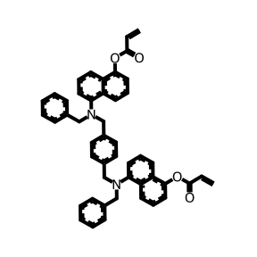 C=CC(=O)Oc1cccc2c(N(Cc3ccccc3)Cc3ccc(CN(Cc4ccccc4)c4cccc5c(OC(=O)C=C)cccc45)cc3)cccc12